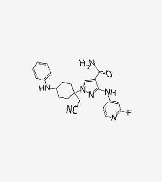 N#CCC1(n2cc(C(N)=O)c(Nc3ccnc(F)c3)n2)CCC(Nc2ccccc2)CC1